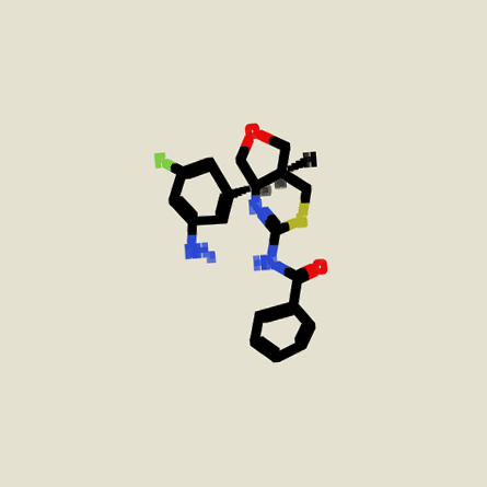 Nc1cc(F)cc([C@]23COC[C@H]2CSC(NC(=O)c2ccccc2)=N3)c1